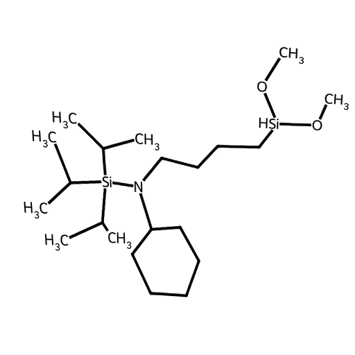 CO[SiH](CCCCN(C1CCCCC1)[Si](C(C)C)(C(C)C)C(C)C)OC